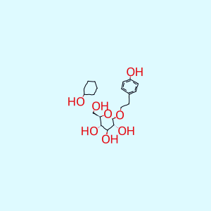 OC1CCCCC1.OC[C@H]1O[C@@H](OCCc2ccc(O)cc2)[C@H](O)[C@@H](O)[C@@H]1O